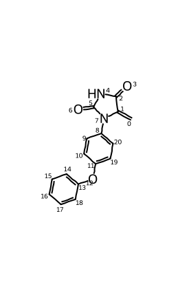 C=C1C(=O)NC(=O)N1c1ccc(Oc2ccccc2)cc1